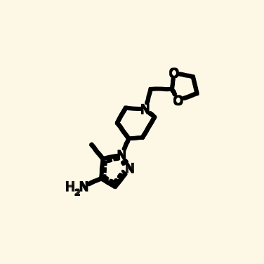 Cc1c(N)cnn1C1CCN(CC2OCCO2)CC1